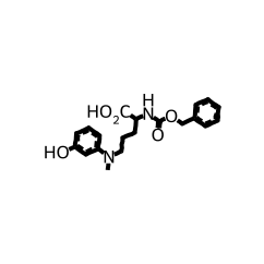 CN(CCCC(NC(=O)OCc1ccccc1)C(=O)O)c1cccc(O)c1